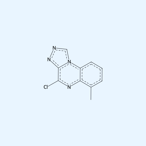 Cc1cccc2c1nc(Cl)c1nncn12